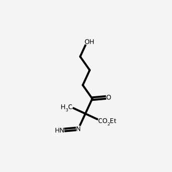 CCOC(=O)C(C)(N=N)C(=O)CCCO